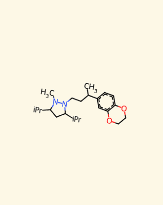 CC(CCN1C(C(C)C)CC(C(C)C)N1C)c1ccc2c(c1)OCCO2